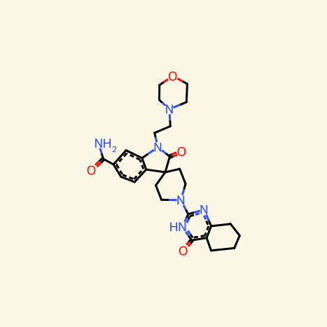 NC(=O)c1ccc2c(c1)N(CCN1CCOCC1)C(=O)C21CCN(c2nc3c(c(=O)[nH]2)CCCC3)CC1